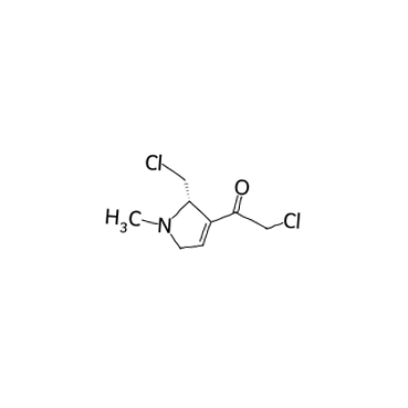 CN1CC=C(C(=O)CCl)[C@H]1CCl